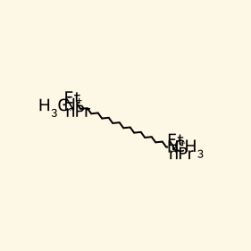 CCC[N+](C)(CC)CCCCCCCCCCCCCCCCCC[N+](C)(CC)CCC